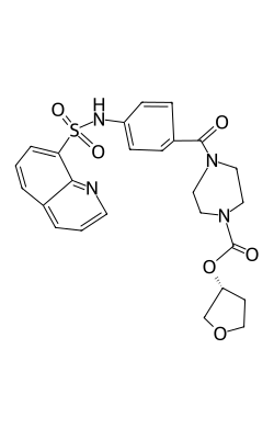 O=C(O[C@@H]1CCOC1)N1CCN(C(=O)c2ccc(NS(=O)(=O)c3cccc4cccnc34)cc2)CC1